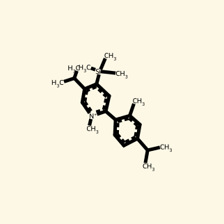 Cc1cc(C(C)C)ccc1-c1cc([Si](C)(C)C)c(C(C)C)c[n+]1C